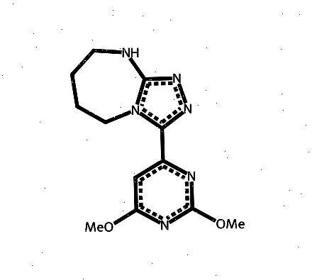 COc1cc(-c2nnc3n2CCCCN3)nc(OC)n1